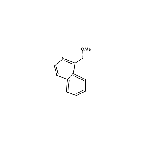 COCc1nccc2ccccc12